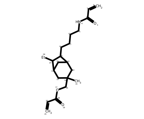 C=CC(=O)NCCCCC1C2CC(CC(C)(COC(=O)C=C)C2)C1CC